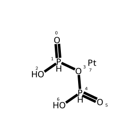 O=[PH](O)O[PH](=O)O.[Pt]